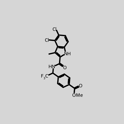 COC(=O)c1ccc(C(NC(=O)c2[nH]c3ccc(Cl)c(Cl)c3c2C)C(F)(F)F)cc1